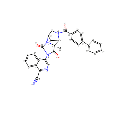 N#Cc1ncc(N2C(=O)[C@@H]3C4CC(CN4C(=O)c4ccc(-c5ccccc5)cc4)N3C2=O)c2ccccc12